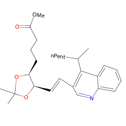 CCCCCC(C)c1c(/C=C/[C@H]2OC(C)(C)O[C@H]2CCCC(=O)OC)cnc2ccccc12